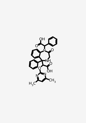 Cc1cc(C)nc(OC(C(=O)O)C2(c3ccccc3)NCC(=O)N(C(C(=O)O)c3ccccc3)c3ccccc32)n1